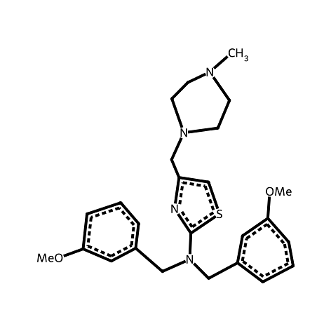 COc1cccc(CN(Cc2cccc(OC)c2)c2nc(CN3CCN(C)CC3)cs2)c1